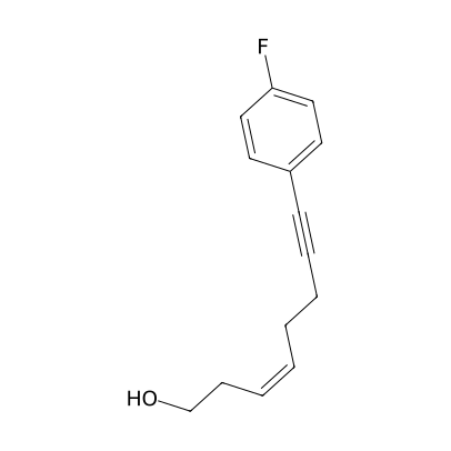 OCC/C=C\CCC#Cc1ccc(F)cc1